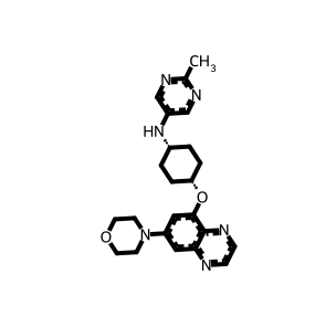 Cc1ncc(N[C@H]2CC[C@@H](Oc3cc(N4CCOCC4)cc4nccnc34)CC2)cn1